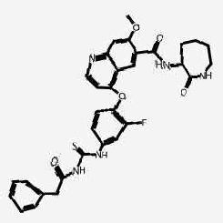 COc1cc2nccc(Oc3ccc(NC(=S)NC(=O)Cc4ccccc4)cc3F)c2cc1C(=O)NC1CCCCNC1=O